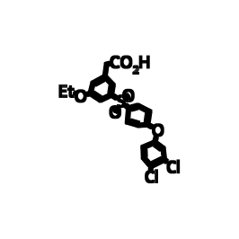 CCOc1cc(CC(=O)O)cc(S(=O)(=O)c2ccc(Oc3ccc(Cl)c(Cl)c3)cc2)c1